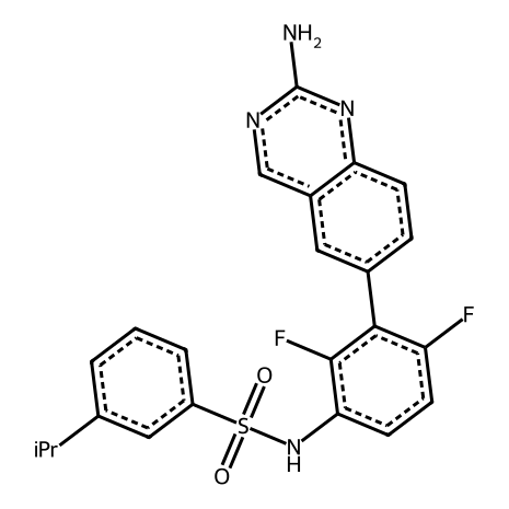 CC(C)c1cccc(S(=O)(=O)Nc2ccc(F)c(-c3ccc4nc(N)ncc4c3)c2F)c1